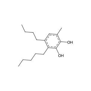 CCCCCc1c(CCCC)cc(C)c(O)c1O